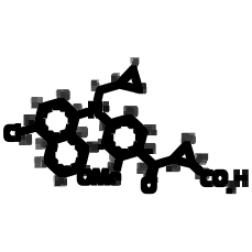 COc1cc(N(CC2CC2)c2ccc(Cl)c3ccccc23)ccc1C(=O)C1CC1C(=O)O